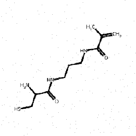 C=C(C)C(=O)NCCCNC(=O)C(N)CS